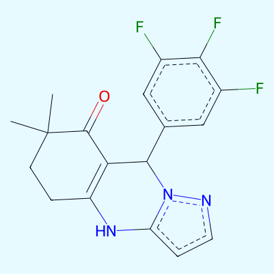 CC1(C)CCC2=C(C1=O)C(c1cc(F)c(F)c(F)c1)n1nccc1N2